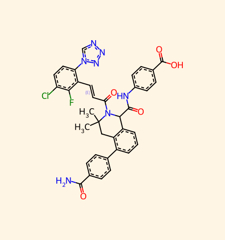 CC1(C)Cc2c(-c3ccc(C(N)=O)cc3)cccc2C(C(=O)Nc2ccc(C(=O)O)cc2)N1C(=O)/C=C/c1c(-n2cnnn2)ccc(Cl)c1F